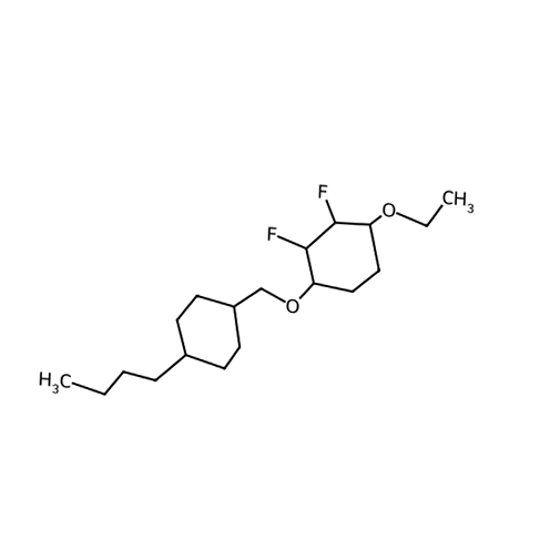 CCCCC1CCC(COC2CCC(OCC)C(F)C2F)CC1